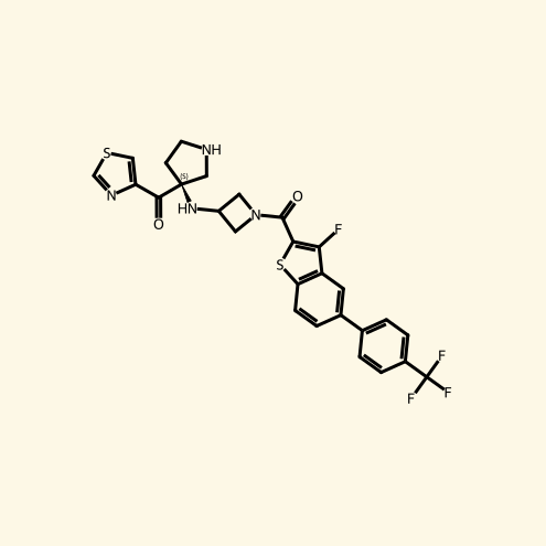 O=C(c1sc2ccc(-c3ccc(C(F)(F)F)cc3)cc2c1F)N1CC(N[C@@]2(C(=O)c3cscn3)CCNC2)C1